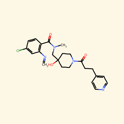 C=Nc1cc(Cl)ccc1C(=O)N(C)CC1(O)CCN(C(=O)CCc2ccncc2)CC1